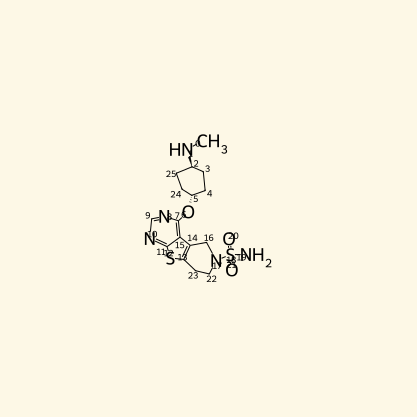 CN[C@H]1CC[C@H](Oc2ncnc3sc4c(c23)CN(S(N)(=O)=O)CC4)CC1